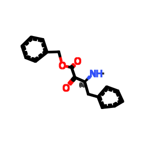 [NH][C@@H](Cc1ccccc1)C(=O)C(=O)OCc1ccccc1